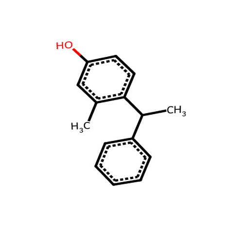 Cc1cc(O)ccc1C(C)c1ccccc1